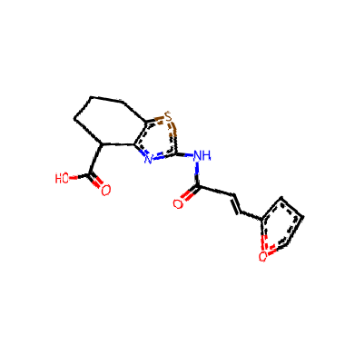 O=C(C=Cc1ccco1)Nc1nc2c(s1)CCCC2C(=O)O